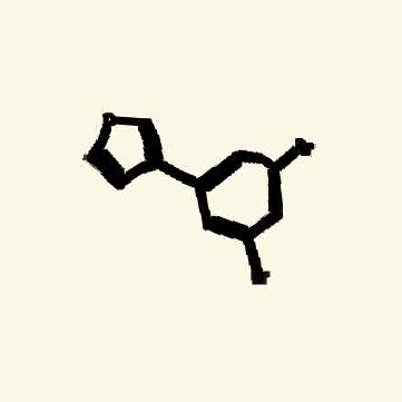 Brc1cc(Br)cc(-c2c[c]oc2)c1